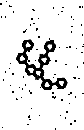 c1ccc(-c2cccc(-c3ccc4nc(-c5cccc(-c6ccccc6)c5)cc(-c5ccc(-c6ccncc6)nc5)c4c3)c2)cc1